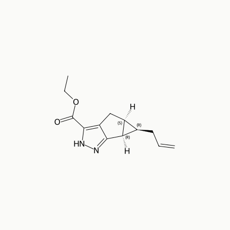 C=CC[C@@H]1[C@@H]2Cc3c(n[nH]c3C(=O)OCC)[C@H]12